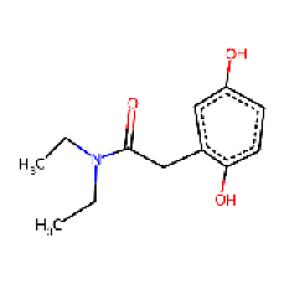 CCN(CC)C(=O)Cc1cc(O)ccc1O